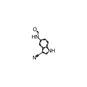 N#Cc1c[nH]c2ccc(NC=O)cc12